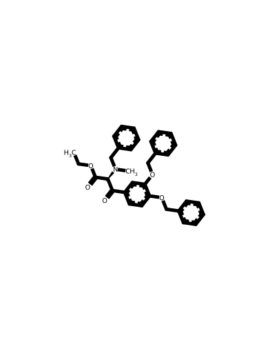 CCOC(=O)[C@H](C(=O)c1ccc(OCc2ccccc2)c(OCc2ccccc2)c1)N(C)Cc1ccccc1